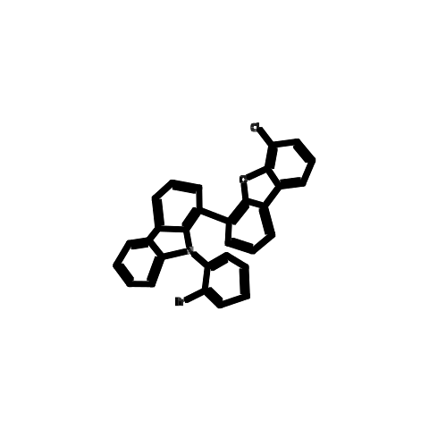 Clc1cccc2c1oc1c(-c3cccc4c5ccccc5n(-c5ccccc5Br)c34)cccc12